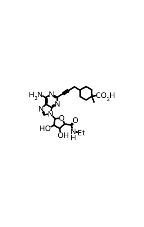 CCNC(=O)C1OC(n2cnc3c(N)nc(C#CCC4CCC(C)(C(=O)O)CC4)nc32)C(O)C1O